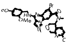 COc1ccc(CNc2nc3cc(Br)c(C(=O)N(C)C4COCc5nc(C(F)(F)F)ccc54)cc3n3cncc23)c(OC)c1